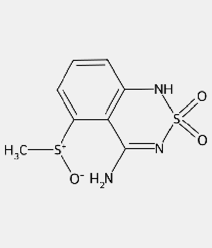 C[S+]([O-])c1cccc2c1C(N)=NS(=O)(=O)N2